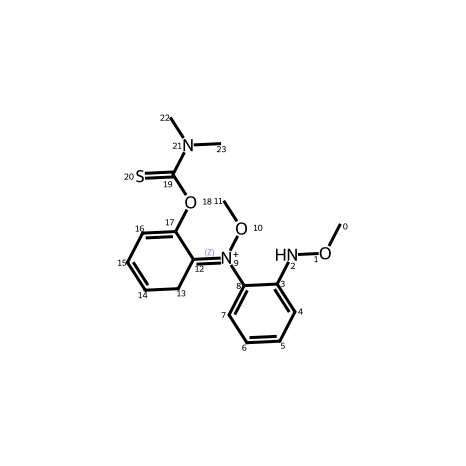 CONc1ccccc1/[N+](OC)=C1\CC=CC=C1OC(=S)N(C)C